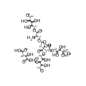 N[C@@H](COC(=O)CC(O)(CC(=O)OC[C@H](O)[C@H](O)[C@@H](O)C=O)C(=O)OC[C@@H](O)[C@@H](O)[C@H](O)C=O)C(=O)OC[C@@H](O)[C@H](O)[C@@H](O)C=O.O=C(O)CC(O)C(=O)O